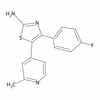 Cc1cc(-c2sc(N)nc2-c2ccc(F)cc2)ccn1